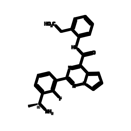 C[C@@H](N)c1cccc(-c2nc(C(=O)Nc3ccccc3CC(=O)O)c3cccn3n2)c1F